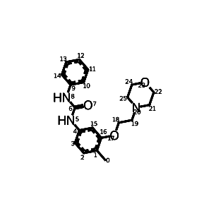 Cc1ccc(NC(=O)Nc2ccccc2)cc1OCCN1CCOCC1